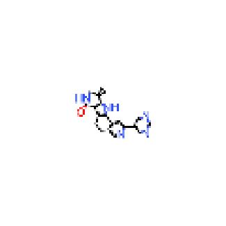 O=C1NCC2(CC2)c2[nH]c3c(c21)CCc1cnc(-c2cncnc2)cc1-3